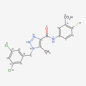 Cc1c(C(=O)Nc2ccc(F)c(C(=O)O)c2)nnn1Cc1cc(Cl)cc(Cl)c1